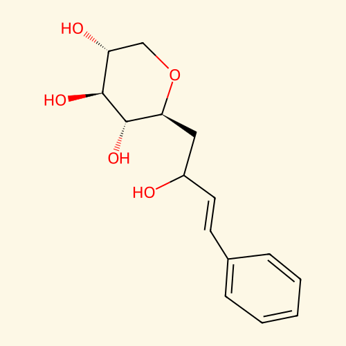 OC(/C=C/c1ccccc1)C[C@@H]1OC[C@@H](O)[C@H](O)[C@H]1O